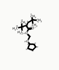 CC(C)(C)CC(C(=O)OCOC1CCCC1)C(C)(C)C